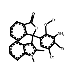 CCOc1c(C2(c3c(C)n(C)c4ccccc34)OC(=O)c3ccccc32)cc(CC)c(CC)c1N